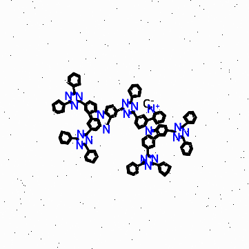 [C-]#[N+]c1ccccc1-c1cc(-c2nc(-c3ccccc3)nc(-c3ccc(-n4c5ccc(-c6nc(-c7ccccc7)nc(-c7ccccc7)n6)cc5c5cc(-c6nc(-c7ccccc7)nc(-c7ccccc7)n6)ccc54)c(C#N)c3)n2)ccc1-n1c2ccc(-c3nc(-c4ccccc4)nc(-c4ccccc4)n3)cc2c2cc(-c3nc(-c4ccccc4)nc(-c4ccccc4)n3)ccc21